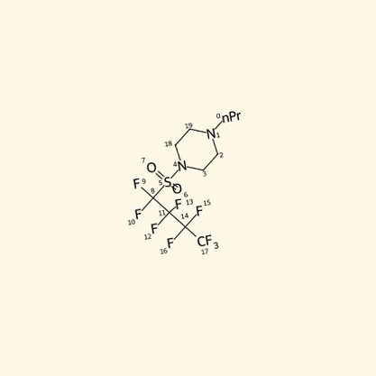 CCCN1CCN(S(=O)(=O)C(F)(F)C(F)(F)C(F)(F)C(F)(F)F)CC1